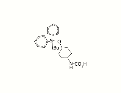 CC(C)(C)[Si](OC1CCC(NC(=O)O)CC1)(c1ccccc1)c1ccccc1